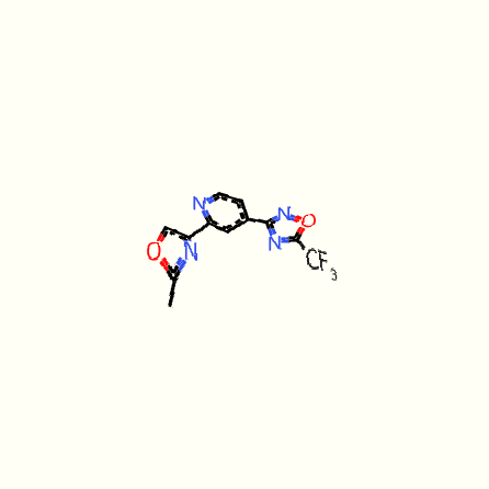 Cc1nc(-c2cc(-c3noc(C(F)(F)F)n3)ccn2)co1